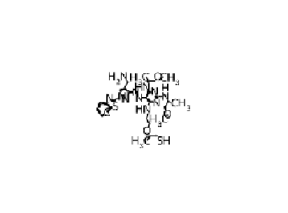 COCC(C)Nc1nc(NCCCOC(C)CS)c(N=Nc2nn(-c3nc4ccccc4s3)cc2CN)c(NC(C)COC)n1